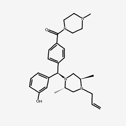 C=CCN1C[C@H](C)N([C@H](c2ccc(C(=O)N3CCN(C)CC3)cc2)c2cccc(O)c2)C[C@H]1C